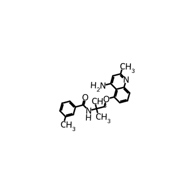 Cc1cccc(C(=O)NC(C)(C)COc2cccc3nc(C)cc(N)c23)c1